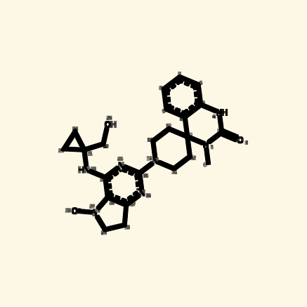 CN1C(=O)Nc2ccccc2C12CCN(c1nc3c(c(NC4(CO)CC4)n1)[S+]([O-])CC3)CC2